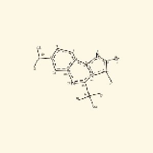 Cc1c(Br)nc2c3ccc(C(C)C)cc3nc(C(C)(C)C)n12